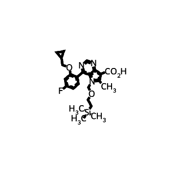 Cc1c(C(=O)O)c2ncnc(-c3ccc(F)cc3OCC3CC3)c2n1COCC[Si](C)(C)C